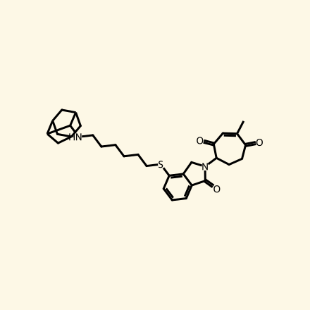 CC1=CC(=O)C(N2Cc3c(SCCCCCCNC4C5CC6CC(C5)C4C6)cccc3C2=O)CCC1=O